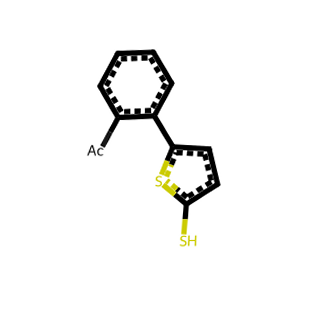 CC(=O)c1ccccc1-c1ccc(S)s1